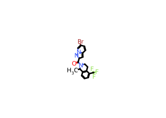 CC1c2cccc(C(F)(F)F)c2CCN1C(=O)c1cc2ccc(Br)cn2n1